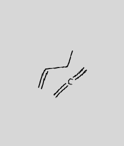 C=C=C.C=CCC